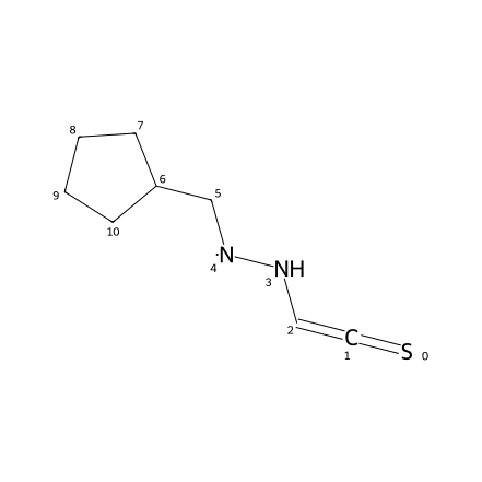 S=C=CN[N]CC1CCCC1